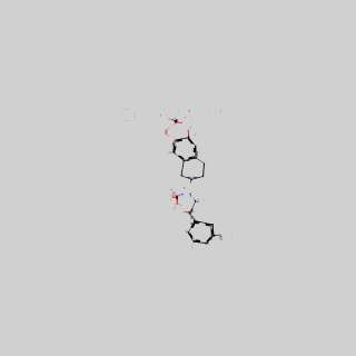 CCOC(=O)C1(C(=O)OCC)Oc2cc3c(cc2O1)CC(N1CC(c2cccc(Cl)c2)OC1=O)CC3